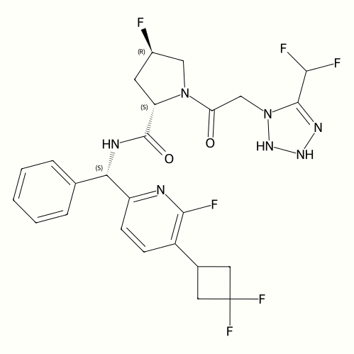 O=C(N[C@@H](c1ccccc1)c1ccc(C2CC(F)(F)C2)c(F)n1)[C@@H]1C[C@@H](F)CN1C(=O)CN1NNN=C1C(F)F